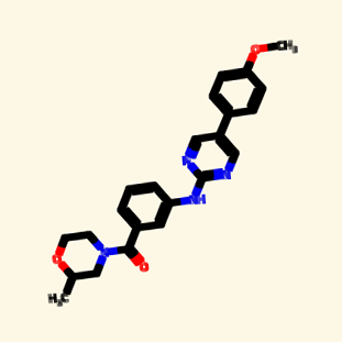 COc1ccc(-c2cnc(Nc3cccc(C(=O)N4CCOC(C)C4)c3)nc2)cc1